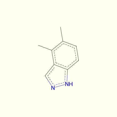 Cc1ccc2[nH]ncc2c1C